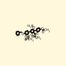 COC(=O)c1c(OC)c(-c2ccc(OCc3ccccc3)c(OS(C)(=O)=O)c2)cc(OC)c1-c1ccc(OC(C)=O)cc1